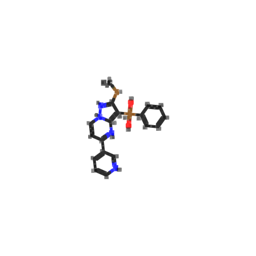 CSc1nn2ccc(-c3cccnc3)nc2c1S(=O)(=O)c1ccccc1